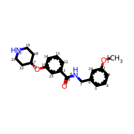 COc1cccc(CNC(=O)c2cccc(OC3CCNCC3)c2)c1